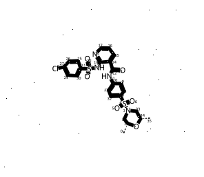 C[C@@H]1CN(S(=O)(=O)c2ccc(NC(=O)c3cccnc3NS(=O)(=O)c3ccc(Cl)cc3)cc2)C[C@H](C)O1